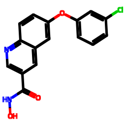 O=C(NO)c1cnc2ccc(Oc3cccc(Cl)c3)cc2c1